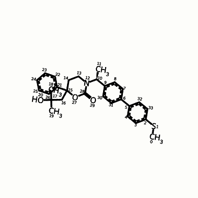 CSc1ccc(-c2ccc([C@H](C)N3CCC(CC(C)(C)O)(c4ccccc4)OC3=O)cc2)cc1